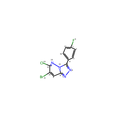 Fc1ccc(-c2nnc3cc(Br)c(Cl)nn23)cc1